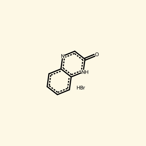 Br.O=c1cnc2ccccc2[nH]1